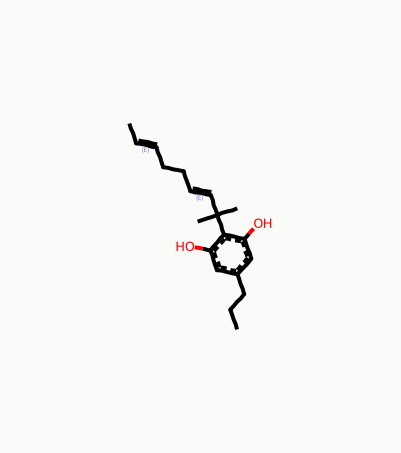 C/C=C/CC/C=C/C(C)(C)c1c(O)cc(CCC)cc1O